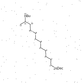 [CH2]CCCCCCCCCCCCCCCCCCCC(C)CCC[CH2]